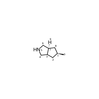 C[C@H]1CC2CNC[C@H]2C1